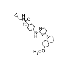 COc1ccc2c(c1)CCCN2c1ccnc(Nc2ccc([SH](=O)(I)NCC3CC3)cc2)n1